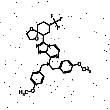 COc1ccc(CN(Cc2ccc(OC)cc2)c2nccn3c(C4CC(C(F)(F)F)CCC45OCCO5)nnc23)cc1